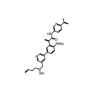 C=CCCN(CCC)Cc1cncc(-c2ccc(NC)c(C(=C)C(=O)Nc3ccc(C(=C)C)nc3)c2)c1